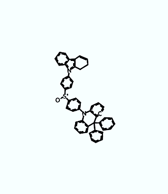 [O-][S+](c1ccc(N2c3ccccc3C(c3ccccc3)(c3ccccc3)c3ccccc32)cc1)c1ccc(-n2c3c(c4ccccc42)C=CCC3)cc1